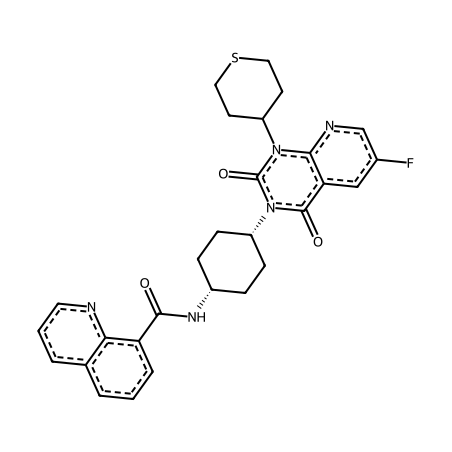 O=C(N[C@H]1CC[C@@H](n2c(=O)c3cc(F)cnc3n(C3CCSCC3)c2=O)CC1)c1cccc2cccnc12